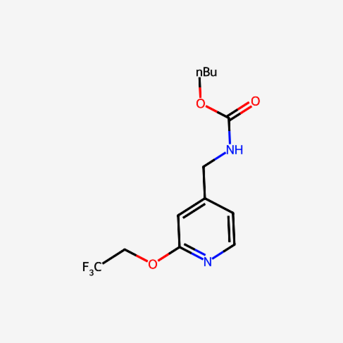 CCCCOC(=O)NCc1ccnc(OCC(F)(F)F)c1